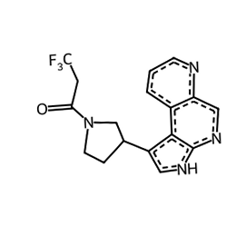 O=C(CC(F)(F)F)N1CCC(c2c[nH]c3ncc4ncccc4c23)C1